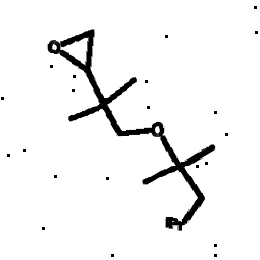 CC(C)CC(C)(C)OCC(C)(C)C1CO1